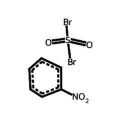 O=S(=O)(Br)Br.O=[N+]([O-])c1ccccc1